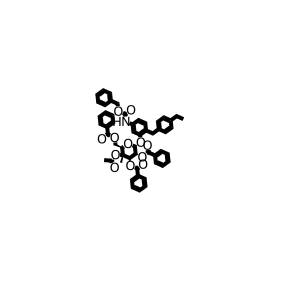 CCc1ccc(Cc2ccc(NC(=O)OCc3ccccc3)cc2O[C@H]2O[C@H](COC(=O)c3ccccc3)[C@@](C)(OC(C)=O)[C@H](OC(=O)c3ccccc3)[C@H]2OC(=O)c2ccccc2)cc1